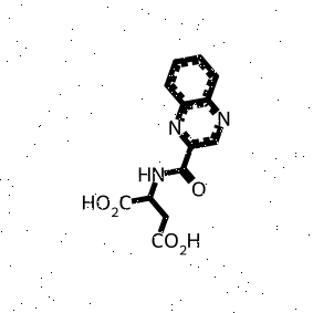 O=C(O)CC(NC(=O)c1cnc2ccccc2n1)C(=O)O